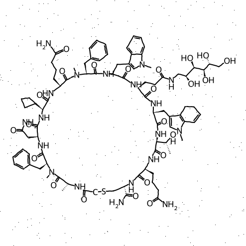 C[C@H]1NC(=O)CSC[C@@H](C(N)=O)NC(=O)[C@H](CCCC(N)=O)NC(=O)[C@H]([C@@H](C)O)NC(=O)[C@H](Cc2cn(C)c3c2CCC=C3)NC(=O)[C@H](CCC(=O)NC[C@H](O)[C@@H](O)[C@H](O)[C@H](O)CO)NC(=O)C(Cc2cn(C)c3ccccc23)NC(=O)[C@H](Cc2ccccc2)N(C)C(=O)[C@H](CCCC(N)=O)NC(=O)[C@H](C2CCC2)NC(=O)[C@H](CC(N)=O)NC(=O)[C@H](Cc2ccccc2)N(C)C1=O